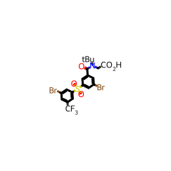 CC(C)(C)N(CC(=O)O)C(=O)c1cc(Br)cc(S(=O)(=O)c2cc(Br)cc(C(F)(F)F)c2)c1